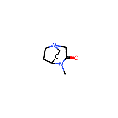 CN1C(=O)CN2CCC1CC2